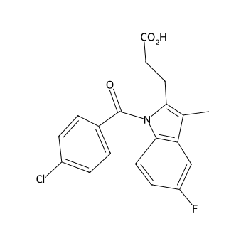 Cc1c(CCC(=O)O)n(C(=O)c2ccc(Cl)cc2)c2ccc(F)cc12